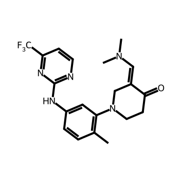 Cc1ccc(Nc2nccc(C(F)(F)F)n2)cc1N1CCC(=O)C(=CN(C)C)C1